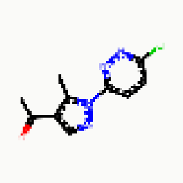 CC(=O)c1cnn(-c2ccc(Cl)nn2)c1C